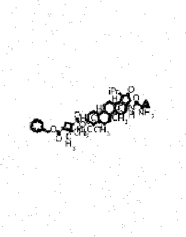 CC(C)C1=C2[C@H]3CC[C@@H]4[C@@]5(C)CC[C@H](OC(=O)[C@H]6C[C@@H](C(=O)OCc7ccccc7)C6(C)C)C(C)(C)[C@@H]5CC[C@@]4(C)[C@]3(C)CC[C@@]2(NC(=O)C2(N)CC2)CC1=O